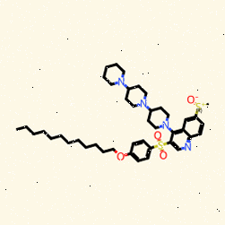 CCCCCCCCCCCCOc1ccc(S(=O)(=O)c2cnc3ccc([S@+](C)[O-])cc3c2N2CCC(N3CCC(N4CCCCC4)CC3)CC2)cc1